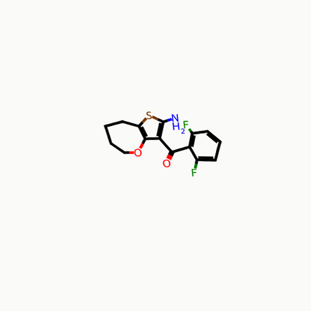 Nc1sc2c(c1C(=O)c1c(F)cccc1F)OCCCC2